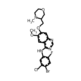 COc1cc2c(Nc3cc(Cl)c(Br)cc3F)ncnc2cc1OCC1COCCN1C